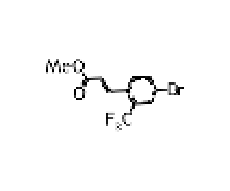 COC(=O)C=Cc1ccc(Br)cc1C(F)(F)F